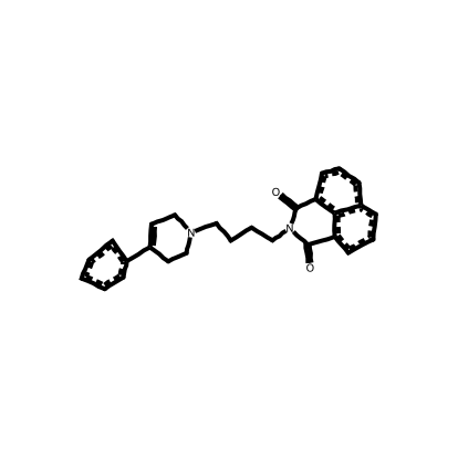 O=C1c2cccc3cccc(c23)C(=O)N1CCCCN1CC=C(c2ccccc2)CC1